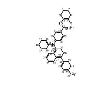 CCCC(OC1=C(C)CCCC1)C1=CCC(N(C2=CCCC=C2)C2=c3ccccc3=C(C3=CC=C(C(C)C)CC3)CC2)C=C1